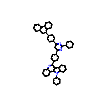 c1ccc(-c2nc(-c3ccc(-c4cc5ccccc5c5ccccc45)cc3)cc(-c3ccc(-c4nc5ccccc5c5c4c4ccccc4n5-c4ccccc4)cc3)n2)cc1